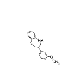 COc1cccc(C2CNc3ccccc3SC2)c1